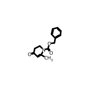 CC1=CC(=O)CCN1C(=O)OCc1ccccc1